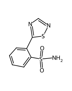 NS(=O)(=O)c1ccccc1-c1ncns1